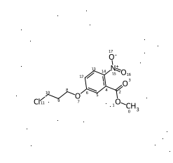 COC(=O)c1cc(OCCCCl)ccc1[N+](=O)[O-]